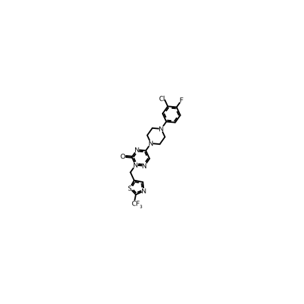 O=c1nc(N2CCN(c3ccc(F)c(Cl)c3)CC2)cnn1Cc1cnc(C(F)(F)F)s1